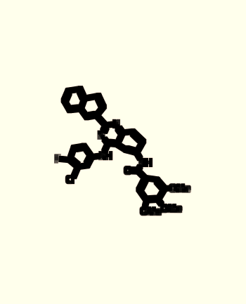 COc1cc(C(=O)Nc2ccc3nc(-c4ccc5ccccc5c4)nc(Nc4ccc(F)c(Cl)c4)c3c2)cc(OC)c1OC